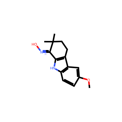 COc1ccc2[nH]c3c(c2c1)CCC(C)(C)/C3=N\O